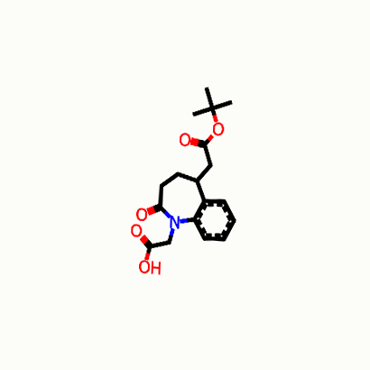 CC(C)(C)OC(=O)CC1CCC(=O)N(CC(=O)O)c2ccccc21